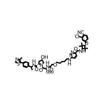 Cc1ncsc1-c1ccc(C(C)NC(=O)[C@@H]2C[C@@H](O)CN2C(=O)C(NC(=O)COCCCCCNc2ccc(C(=O)N[C@H]3C(C)(C)[C@H](Oc4ccc(C#N)c(Cl)c4)C3(C)C)nn2)C(C)(C)C)cc1